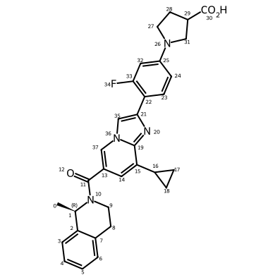 C[C@@H]1c2ccccc2CCN1C(=O)c1cc(C2CC2)c2nc(-c3ccc(N4CCC(C(=O)O)C4)cc3F)cn2c1